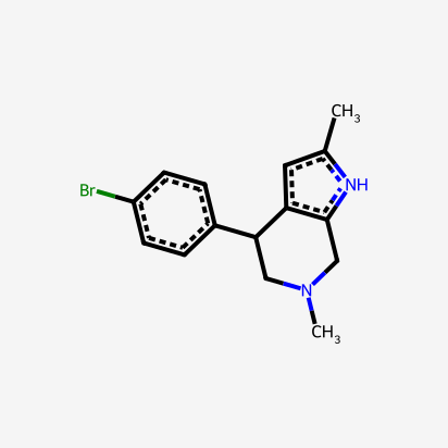 Cc1cc2c([nH]1)CN(C)CC2c1ccc(Br)cc1